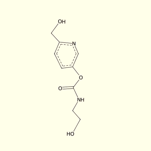 O=C(NCCO)Oc1ccc(CO)nc1